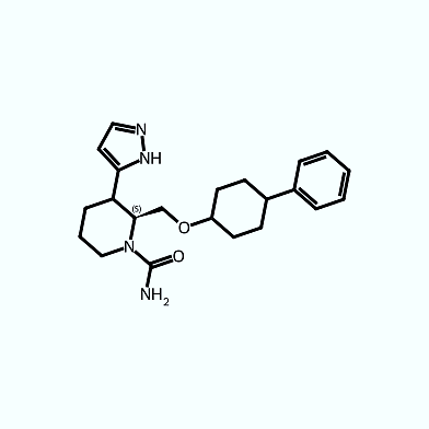 NC(=O)N1CCCC(c2ccn[nH]2)[C@H]1COC1CCC(c2ccccc2)CC1